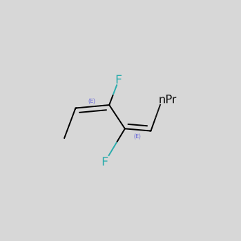 C/C=C(F)\C(F)=C/CCC